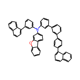 c1cc(-c2ccc(-c3cccc4ccccc34)cc2)cc(-c2cccc(N(c3cccc(-c4cccc5ccccc45)c3)c3ccc4c(c3)oc3ccccc34)c2)c1